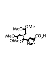 COC(CN(CC(OC)OC)C(=O)c1cc(C(=O)O)ncn1)OC